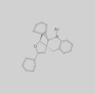 CC(=O)N1C(=O)[C@]2(C=C(c3ccccc3)O[C@H]2c2ccccc2)Cc2ccccc21